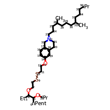 CCCCCC(OC(C)C)C(CC)OCCSSCCOc1ccc2c(c1)CCN(CCCC(C)CCCC(C)CCCC(C)C)C2